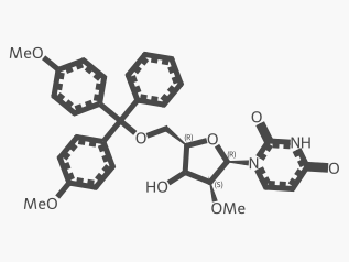 COc1ccc(C(OC[C@H]2O[C@@H](n3ccc(=O)[nH]c3=O)[C@@H](OC)C2O)(c2ccccc2)c2ccc(OC)cc2)cc1